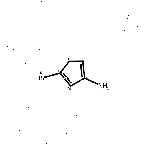 NC1=CCC(S)=C1